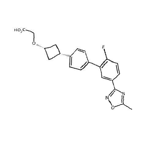 Cc1nc(-c2ccc(F)c(-c3ccc([C@H]4C[C@@H](OCC(=O)O)C4)cc3)c2)no1